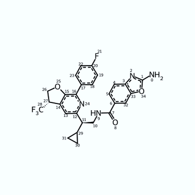 Nc1nc2ccc(C(=O)NC[C@H](c3cc4c(c(-c5ccc(F)cc5)n3)OC[C@H]4C(F)(F)F)C3CC3)cc2o1